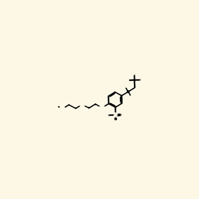 COCCOCCOc1ccc(C(C)(C)CC(C)(C)C)cc1S(=O)(=O)Cl